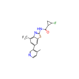 Cc1ccncc1-c1cc(C(F)(F)F)c2nc(NC(=O)C3CC3F)sc2c1